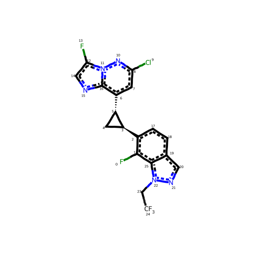 Fc1c([C@H]2C[C@@H]2c2cc(Cl)nn3c(F)cnc23)ccc2cnn(CC(F)(F)F)c12